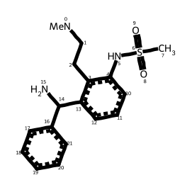 CNCCc1c(NS(C)(=O)=O)cccc1C(N)c1ccccc1